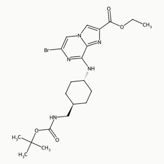 CCOC(=O)c1cn2cc(Br)nc(N[C@H]3CC[C@H](CNC(=O)OC(C)(C)C)CC3)c2n1